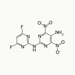 Nc1c([N+](=O)[O-])nc(Nc2nc(F)cc(F)n2)nc1[N+](=O)[O-]